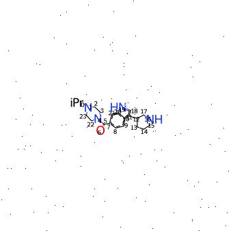 CC(C)N1CCN(C(=O)c2ccc3c(C4CCCNC4)c[nH]c3c2)CC1